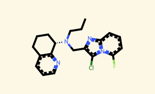 CCCN(Cc1nc2cccc(F)n2c1Cl)[C@H]1CCCc2cccnc21